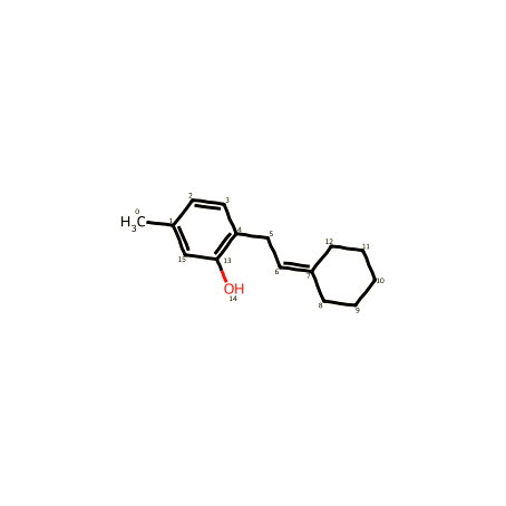 Cc1ccc(CC=C2CCCCC2)c(O)c1